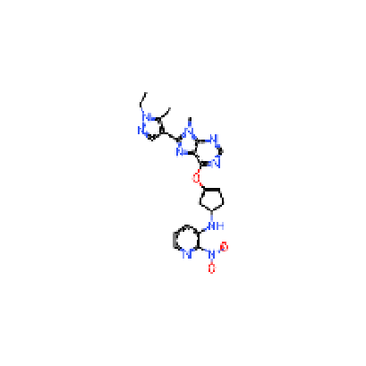 CCn1ncc(-c2nc3c(OC4CCC(Nc5cccnc5[N+](=O)[O-])C4)ncnc3n2C)c1C